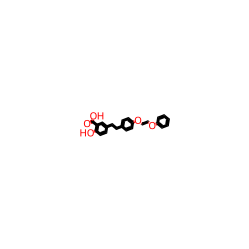 O=C(O)c1cc(CCc2ccc(OCCOc3ccccc3)cc2)ccc1O